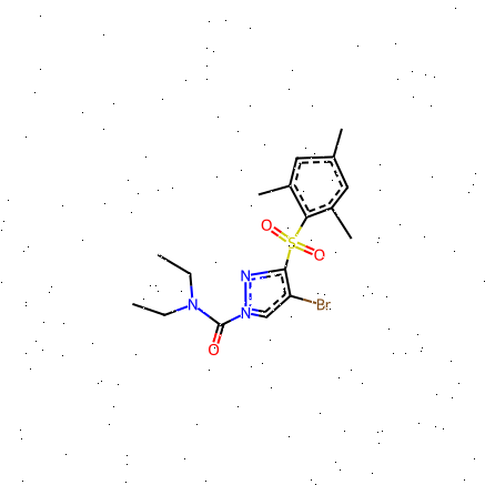 CCN(CC)C(=O)n1cc(Br)c(S(=O)(=O)c2c(C)cc(C)cc2C)n1